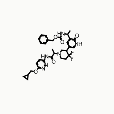 CC(NC(=O)OCc1ccccc1)c1cc(C2CN(C(C)C(=O)Nc3ccc(OCC4CC4)nn3)CCC2(F)F)c[nH]c1=O